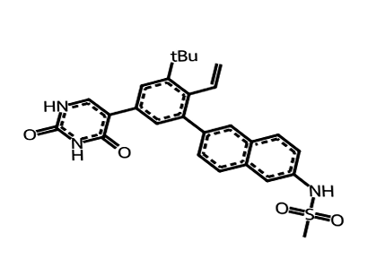 C=Cc1c(-c2ccc3cc(NS(C)(=O)=O)ccc3c2)cc(-c2c[nH]c(=O)[nH]c2=O)cc1C(C)(C)C